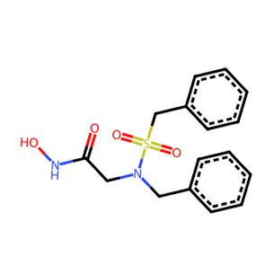 O=C(CN(Cc1ccccc1)S(=O)(=O)Cc1ccccc1)NO